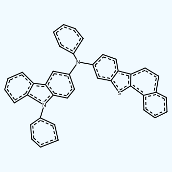 c1ccc(N(c2ccc3c(c2)sc2c4ccccc4ccc32)c2ccc3c(c2)c2ccccc2n3-c2ccccc2)cc1